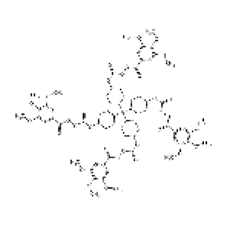 COc1cc(C(=O)OOC(=O)OC2CCC(C(C3CCC(OC(=O)OOC(=O)c4cc(OC)c(OC)c(OC)c4)CC3)(C3CCC(OC(=O)OOC(=O)c4cc(OC)c(OC)c(OC)c4)CC3)C3CCC(OC(=O)OOC(=O)c4cc(OC)c(OC)c(OC)c4)CC3)CC2)cc(OC)c1OC